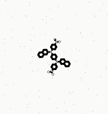 O=[N+]([O-])c1ccc(N(c2ccc(N(c3ccc([N+](=O)[O-])cc3)c3ccc4ccccc4c3)cc2)c2ccc3ccccc3c2)cc1